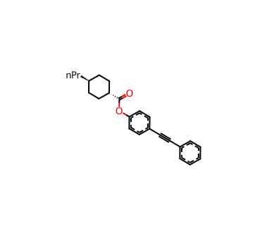 CCC[C@H]1CC[C@H](C(=O)Oc2ccc(C#Cc3ccccc3)cc2)CC1